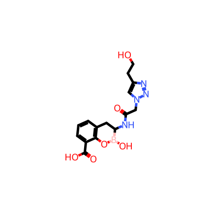 O=C(Cn1cc(CCO)nn1)NC1Cc2cccc(C(=O)O)c2OB1O